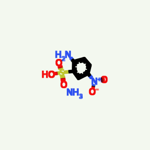 N.Nc1ccc([N+](=O)[O-])cc1S(=O)(=O)O